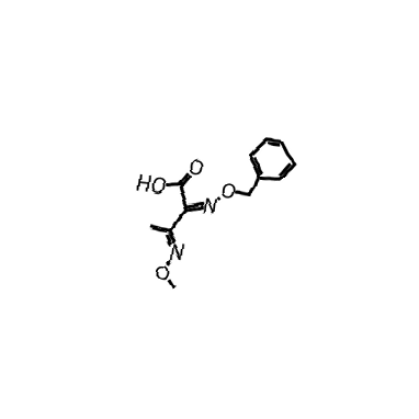 CON=C(C)C(=NOCc1ccccc1)C(=O)O